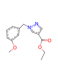 CCOC(=O)c1cnn(Cc2cccc(OC)c2)c1